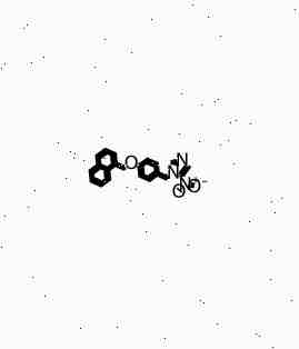 O=[N+]([O-])c1cncn1Cc1ccc(OCc2cccc3ccccc23)cc1